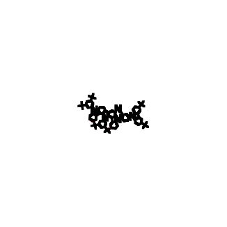 CC(C)(C)c1cc(-n2c3ccccc3c3c2ccc2c4ccc5c(c6ccccc6n5-c5ccc(-n6c7ccc(C(C)(C)C)cc7c7cc(C(C)(C)C)ccc76)cc5C#N)c4n(-c4cc(C(C)(C)C)cc(C(C)(C)C)c4)c23)cc(C(C)(C)C)c1